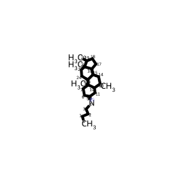 CCCC/N=C1\CCC2(C)C(C1)C(C)CC1C3CCC(C)C3(C)CCC12